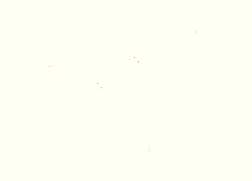 O=C(CCl)NC1CC(O)CCN1C(=O)O